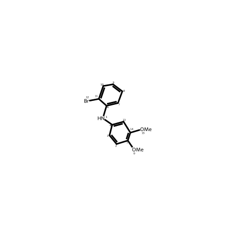 COc1ccc(Nc2ccccc2Br)cc1OC